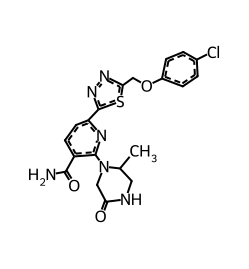 CC1CNC(=O)CN1c1nc(-c2nnc(COc3ccc(Cl)cc3)s2)ccc1C(N)=O